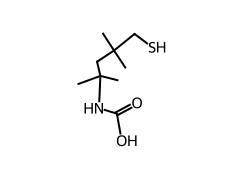 CC(C)(CS)CC(C)(C)NC(=O)O